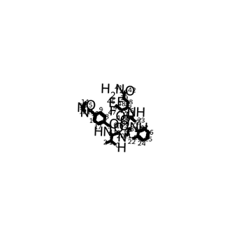 CC(C)[C@H](NC(=O)c1ccc(-c2nnco2)cc1)C(=O)N[C@@H](Cc1ccccc1)C(=O)N[C@@H](C)C(=O)NC(CCC(N)=O)C(O)C(F)(F)F